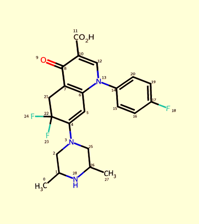 CC1CN(C2=Cc3c(c(=O)c(C(=O)O)cn3-c3ccc(F)cc3)CC2(F)F)CC(C)N1